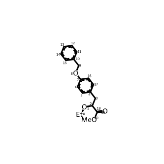 CCOC(Cc1ccc(OCc2ccccc2)cc1)C(=O)OC